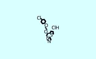 Cl.Clc1ccc(OCCO/C(=C/n2ccnc2)c2cccs2)cc1